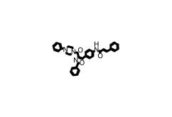 O=C(C=Cc1ccccc1)Nc1ccc(-c2oc(-c3ccccc3)nc2C(=O)N2CCN(c3ccccc3)CC2)cc1